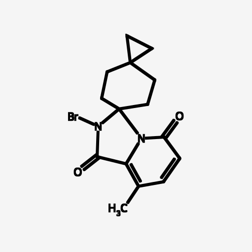 Cc1ccc(=O)n2c1C(=O)N(Br)C21CCC2(CC2)CC1